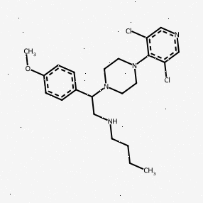 CCCCNCC(c1ccc(OC)cc1)N1CCN(c2c(Cl)cncc2Cl)CC1